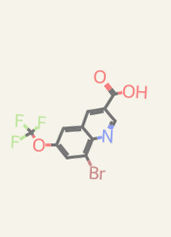 O=C(O)c1cnc2c(Br)cc(OC(F)(F)F)cc2c1